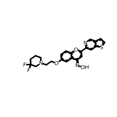 O/N=c1\cc(-c2cc3sccc3cn2)oc2ccc(OCCN3CCCC(F)(F)C3)cc12